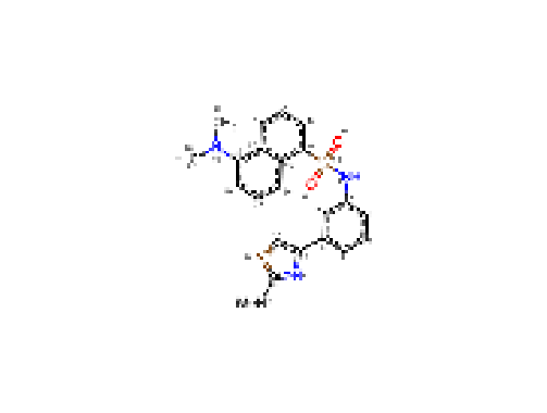 CNc1nc(-c2cccc(NS(=O)(=O)c3cccc4c(N(C)C)cccc34)c2)cs1